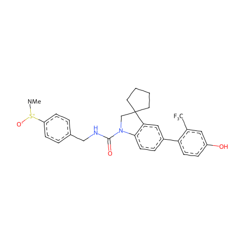 CN[S+]([O-])c1ccc(CNC(=O)N2CC3(CCCC3)c3cc(-c4ccc(O)cc4C(F)(F)F)ccc32)cc1